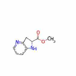 COC(=O)C1Cc2ncccc2N1